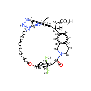 Cc1c2cnc3c1nnn3CCCCCCOc1cc(F)c(c(F)c1)C(=O)N1CCc3ccc(cc3C1)[C@H]2CC(=O)O